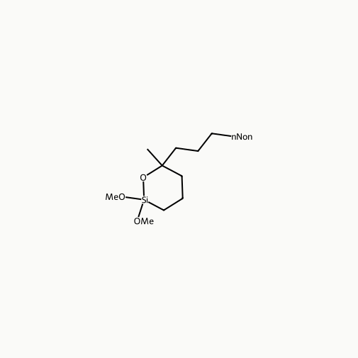 CCCCCCCCCCCCC1(C)CCC[Si](OC)(OC)O1